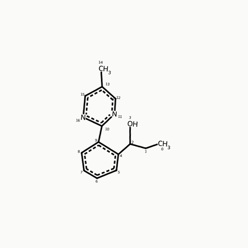 CCC(O)c1ccccc1-c1ncc(C)cn1